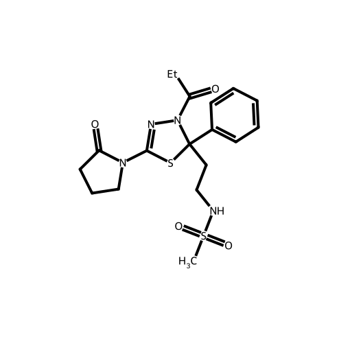 CCC(=O)N1N=C(N2CCCC2=O)SC1(CCNS(C)(=O)=O)c1ccccc1